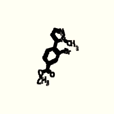 COC(=O)c1ccc(-c2ccnn2C)c(Br)c1